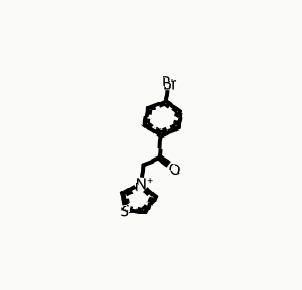 O=C(C[n+]1ccsc1)c1ccc(Br)cc1